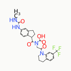 CNC(=O)Nc1ccc2c(c1)CCC2C(=O)N(CC(=O)N1CCCc2ccc(C(F)(F)F)cc21)C(=O)O